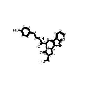 O=C(NCCc1ccc(O)cc1)C1Cc2c([nH]c3ncccc23)C2CC(CO)C(=O)N12